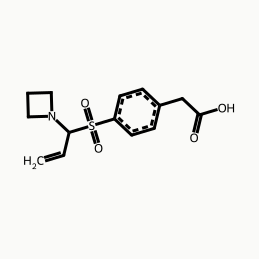 C=CC(N1CCC1)S(=O)(=O)c1ccc(CC(=O)O)cc1